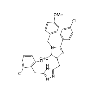 COc1ccc(CN2C(c3ccc(Cl)cc3)=NN(Cc3nnc(Cc4c(Cl)cccc4Cl)[nH]3)C2C=O)cc1